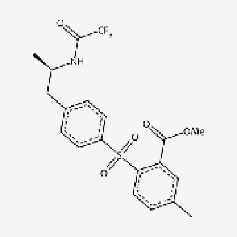 COC(=O)c1cc(C)ccc1S(=O)(=O)c1ccc(C[C@@H](C)NC(=O)C(F)(F)F)cc1